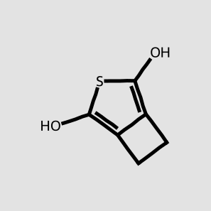 Oc1sc(O)c2c1CC2